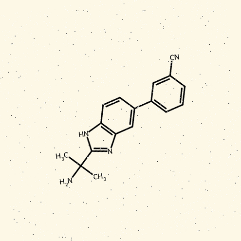 CC(C)(N)c1nc2cc(-c3cccc(C#N)c3)ccc2[nH]1